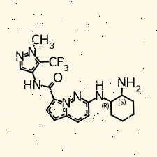 Cn1ncc(NC(=O)c2ccc3ccc(N[C@@H]4CCCC[C@@H]4N)nn23)c1C(F)(F)F